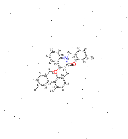 Cc1ccc(COc2c(Cc3ccc(C)cc3)c(=O)n(Cc3ccc(C)cc3)c3ccccc23)cc1